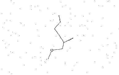 [CH]OCC(C)CCC